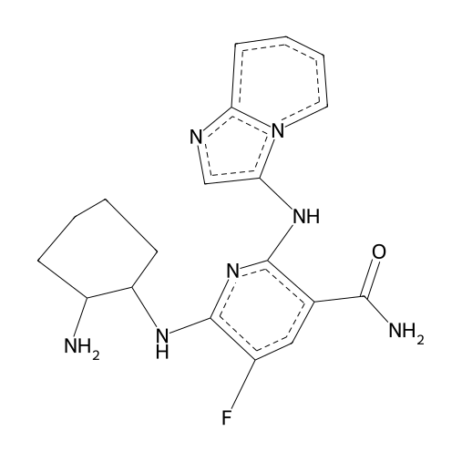 NC(=O)c1cc(F)c(NC2CCCCC2N)nc1Nc1cnc2ccccn12